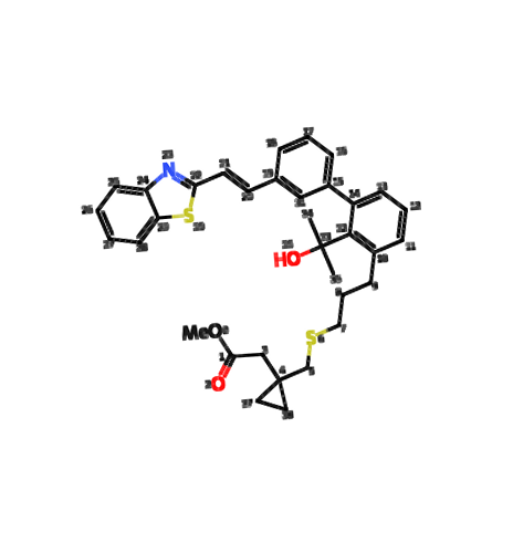 COC(=O)CC1(CSCCCc2cccc(-c3cccc(C=Cc4nc5ccccc5s4)c3)c2C(C)(C)O)CC1